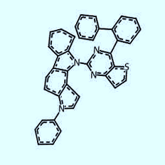 c1ccc(-c2ccccc2-c2nc(-n3c4ccccc4c4ccc5c(ccn5-c5ccccc5)c43)nc3ccsc23)cc1